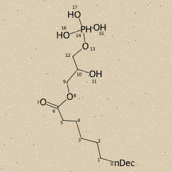 CCCCCCCCCCCCCCCC(=O)OCC(O)CO[PH](O)(O)O